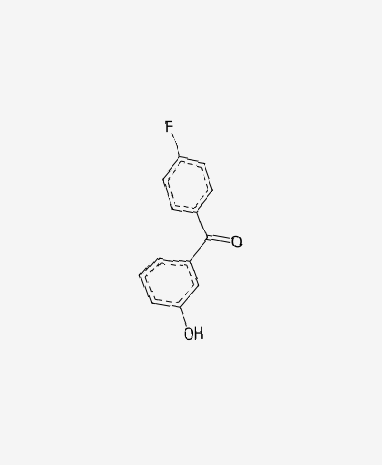 O=C(c1ccc(F)cc1)c1cccc(O)c1